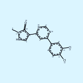 Cn1[nH]cc(-c2cc(-c3ccc(Cl)c(Cl)c3)ncn2)c1=O